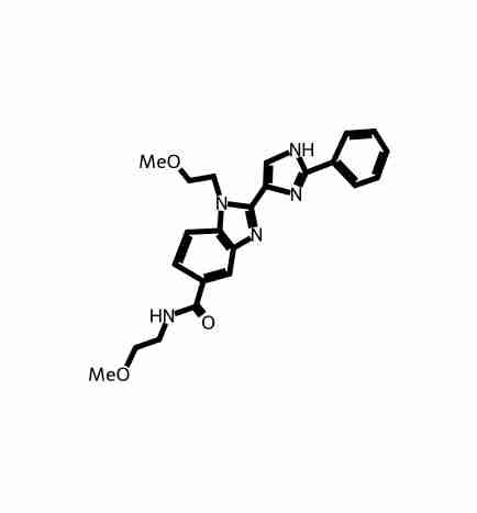 COCCNC(=O)c1ccc2c(c1)nc(-c1c[nH]c(-c3ccccc3)n1)n2CCOC